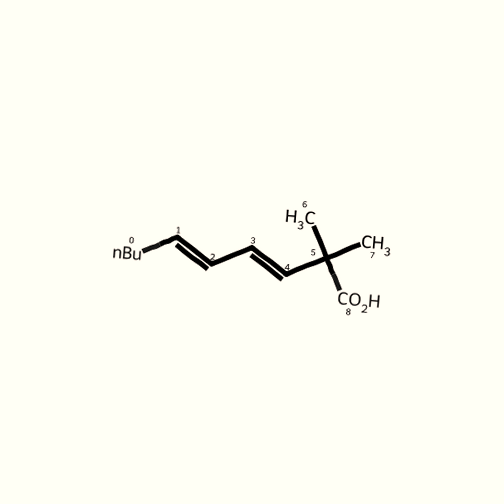 CCCC/C=C/C=C/C(C)(C)C(=O)O